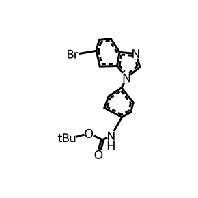 CC(C)(C)OC(=O)Nc1ccc(-n2cnc3ccc(Br)cc32)cc1